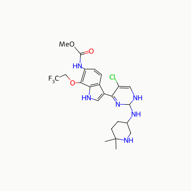 COC(=O)Nc1ccc2c(C3=NC(NC4CCC(C)(C)NC4)NC=C3Cl)c[nH]c2c1OCC(F)(F)F